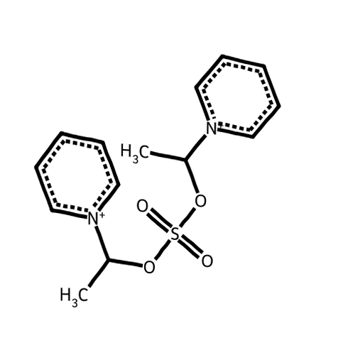 CC(OS(=O)(=O)OC(C)[n+]1ccccc1)[n+]1ccccc1